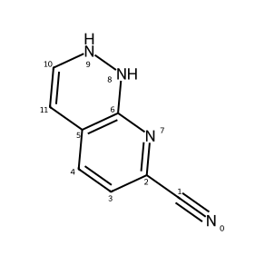 N#Cc1ccc2c(n1)NNC=C2